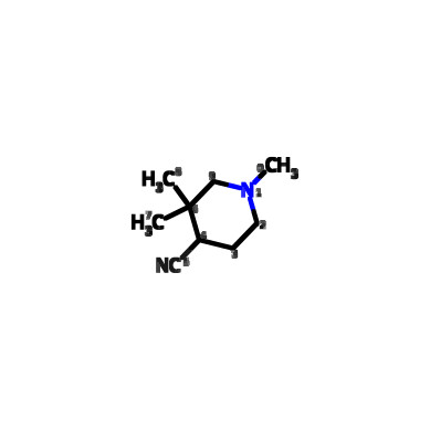 CN1CCC(C#N)C(C)(C)C1